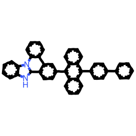 c1ccc(-c2ccc(-c3c4ccccc4c(-c4ccc5c(c4)-c4ccccc4N4c6ccccc6NC54)c4ccccc34)cc2)cc1